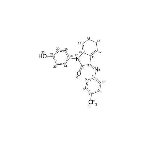 O=C1/C(=N\c2ccc(C(F)(F)F)cc2)C2=CCCC=C2N1c1ccc(O)cc1